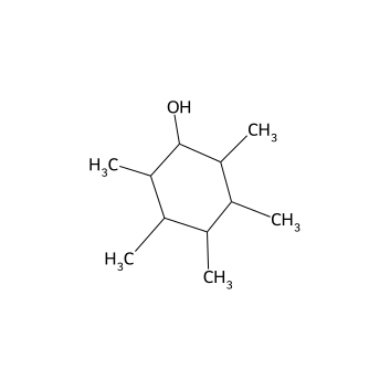 CC1C(C)C(C)C(O)C(C)C1C